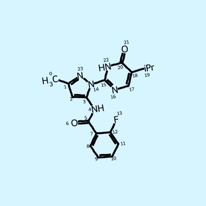 Cc1cc(NC(=O)c2ccccc2F)n(-c2ncc(C(C)C)c(=O)[nH]2)n1